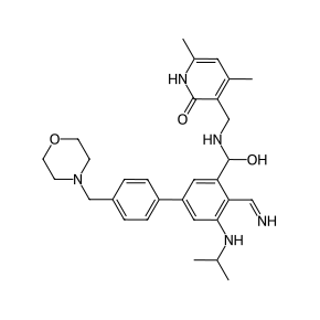 Cc1cc(C)c(CNC(O)c2cc(-c3ccc(CN4CCOCC4)cc3)cc(NC(C)C)c2C=N)c(=O)[nH]1